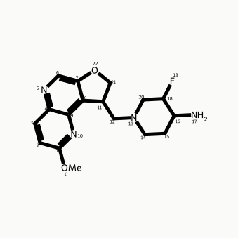 COc1ccc2ncc3c(c2n1)C(CN1CCC(N)C(F)C1)CO3